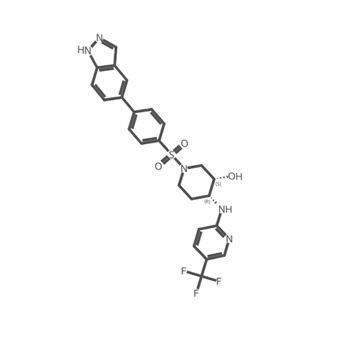 O=S(=O)(c1ccc(-c2ccc3[nH]ncc3c2)cc1)N1CC[C@@H](Nc2ccc(C(F)(F)F)cn2)[C@@H](O)C1